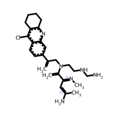 C=C(CN(CCNCN)C(=C)C(/C=C(\C)N)=N/C)c1ccc2c(Cl)c3c(nc2c1)CCCC3